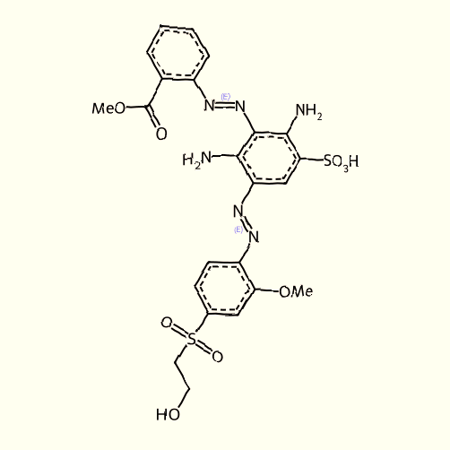 COC(=O)c1ccccc1/N=N/c1c(N)c(/N=N/c2ccc(S(=O)(=O)CCO)cc2OC)cc(S(=O)(=O)O)c1N